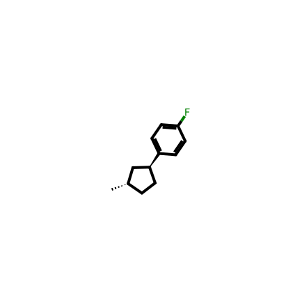 C[C@H]1CC[C@H](c2ccc(F)cc2)C1